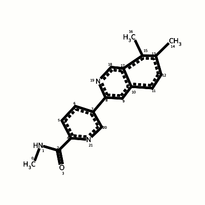 CNC(=O)c1ccc(-c2cc3ccc(C)c(C)c3cn2)cn1